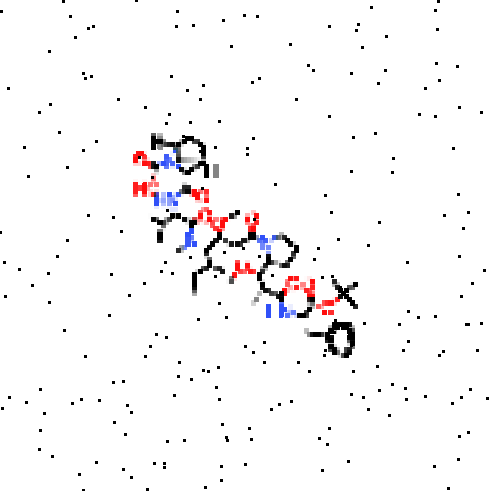 CC[C@H](C)[C@@H]([C@@H](CC(=O)N1CCC[C@H]1[C@H](OC)[C@@H](C)C(=O)N[C@@H](Cc1ccccc1)C(=O)OC(C)(C)C)OC)N(C)C(=O)[C@@H](NC(=O)[C@@H]1[C@H]2CC[C@H](C2)N1C(=O)O)C(C)C